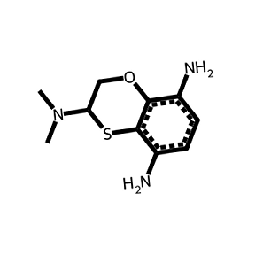 CN(C)C1COc2c(N)ccc(N)c2S1